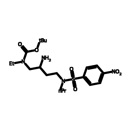 CCCN(CCC(N)CN(CC)C(=O)OC(C)(C)C)S(=O)(=O)c1ccc([N+](=O)[O-])cc1